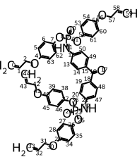 C=CCOc1ccc(OP(=O)(Nc2ccc(C(=O)c3ccc(NP(=O)(Oc4ccc(OCC=C)cc4)Oc4ccc(OCC=C)cc4)cc3)cc2)Oc2ccc(OCC=C)cc2)cc1